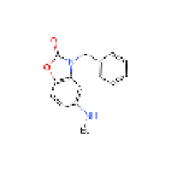 CCNc1ccc2oc(=O)n(Cc3ccccc3)c2c1